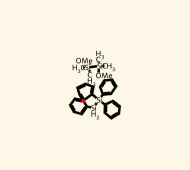 CO[Si](C)(C)[Si](C)(C)OC.c1ccc([SiH2][Si](c2ccccc2)(c2ccccc2)c2ccccc2)cc1